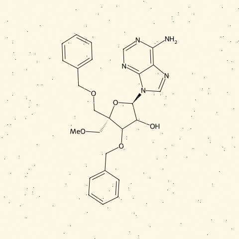 COC[C@]1(COCc2ccccc2)O[C@@H](n2cnc3c(N)ncnc32)C(O)C1OCc1ccccc1